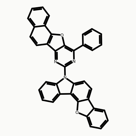 c1ccc(-c2nc(-n3c4ccccc4c4c5oc6ccccc6c5ccc43)nc3c2oc2c4ccccc4ccc32)cc1